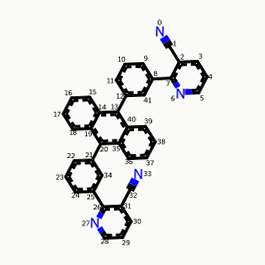 N#Cc1cccnc1-c1cccc(-c2c3ccccc3c(-c3cccc(-c4ncccc4C#N)c3)c3ccccc23)c1